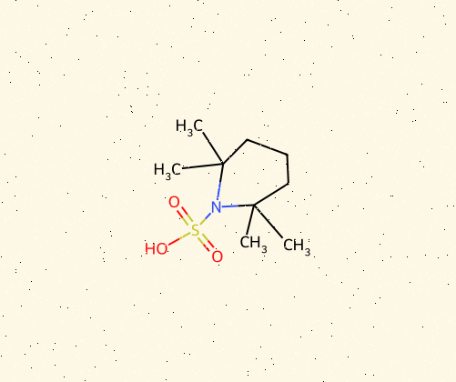 CC1(C)CCCC(C)(C)N1S(=O)(=O)O